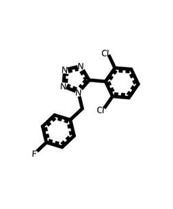 Fc1ccc(Cn2nnnc2-c2c(Cl)cccc2Cl)cc1